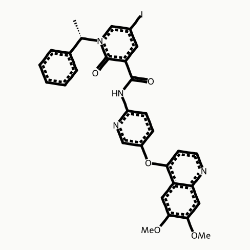 COc1cc2nccc(Oc3ccc(NC(=O)c4cc(I)cn([C@@H](C)c5ccccc5)c4=O)nc3)c2cc1OC